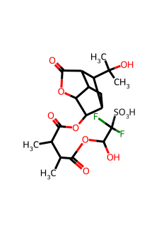 CC(C(=O)OC1C2CC3C1OC(=O)C3C2C(C)(C)O)C(C)C(=O)OC(O)C(F)(F)S(=O)(=O)O